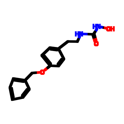 O=C(NO)NCCc1ccc(OCc2ccccc2)cc1